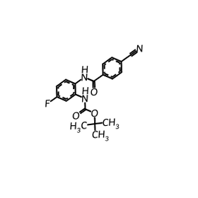 CC(C)(C)OC(=O)Nc1cc(F)ccc1NC(=O)c1ccc(C#N)cc1